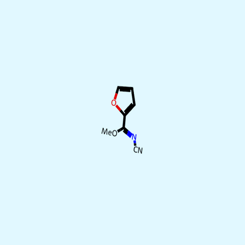 COC(=NC#N)c1ccco1